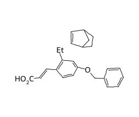 C1=CC2CCC1C2.CCc1cc(OCc2ccccc2)ccc1C=CC(=O)O